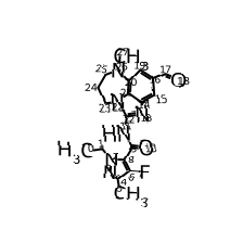 CCn1nc(C)c(F)c1C(=O)Nc1nc2cc(C=O)cc3c2n1CCCN3C